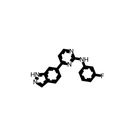 Fc1cccc(Nc2nccc(-c3ccc4cn[nH]c4c3)n2)c1